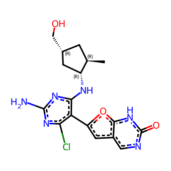 C[C@@H]1C[C@@H](CO)C[C@H]1Nc1nc(N)nc(Cl)c1-c1cc2cnc(=O)[nH]c2o1